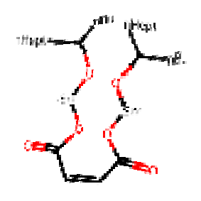 CCCCCCCC(CCCC)[O][Sn][O]C(=O)/C=C\C(=O)[O][Sn][O]C(CCCC)CCCCCCC